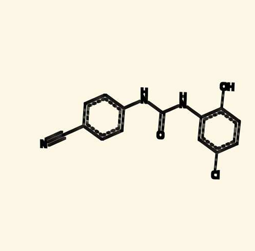 N#Cc1ccc(NC(=O)Nc2cc(Cl)ccc2O)cc1